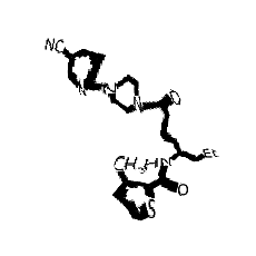 CC/C=C(\CCC(=O)N1CCN(c2ccc(C#N)cn2)CC1)NC(=O)c1sccc1C